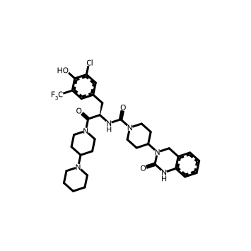 O=C(N[C@H](Cc1cc(Cl)c(O)c(C(F)(F)F)c1)C(=O)N1CCC(N2CCCCC2)CC1)N1CCC(N2Cc3ccccc3NC2=O)CC1